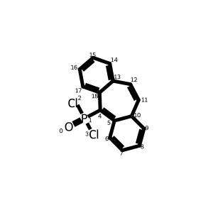 O=P(Cl)(Cl)C1=C2C=CC=CC2C=Cc2ccccc21